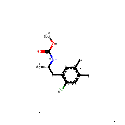 CC(=O)[C@H](Cc1cc(C)c(C)cc1[18F])NC(=O)OC(C)(C)C